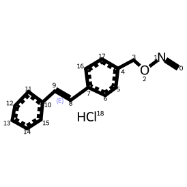 C=NOCc1ccc(/C=C/c2ccccc2)cc1.Cl